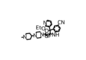 CCOc1ncccc1C1(OC(=O)N2CCN(C3CCN(C)CC3)CC2)C(=O)Nc2ccc(C#N)cc21